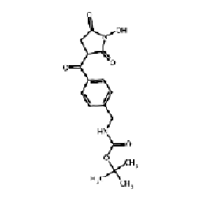 CC(C)(C)OC(=O)NCc1ccc(C(=O)C2CC(=O)N(O)C2=O)cc1